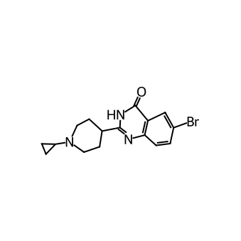 O=c1[nH]c(C2CCN(C3CC3)CC2)nc2ccc(Br)cc12